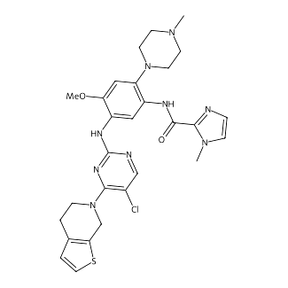 COc1cc(N2CCN(C)CC2)c(NC(=O)c2nccn2C)cc1Nc1ncc(Cl)c(N2CCc3ccsc3C2)n1